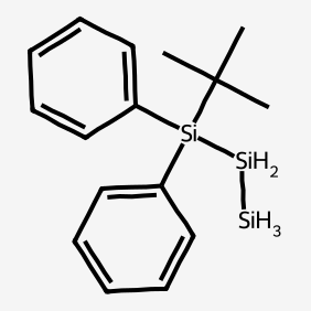 CC(C)(C)[Si]([SiH2][SiH3])(c1ccccc1)c1ccccc1